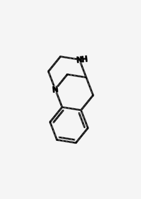 c1ccc2c(c1)CC1CN2CCN1